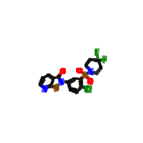 O=c1c2cccnc2sn1-c1ccc(Cl)c(S(=O)(=O)N2CCC(F)(F)CC2)c1